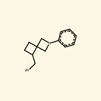 CC(C)CC1CCC12CN(c1ccccc1)C2